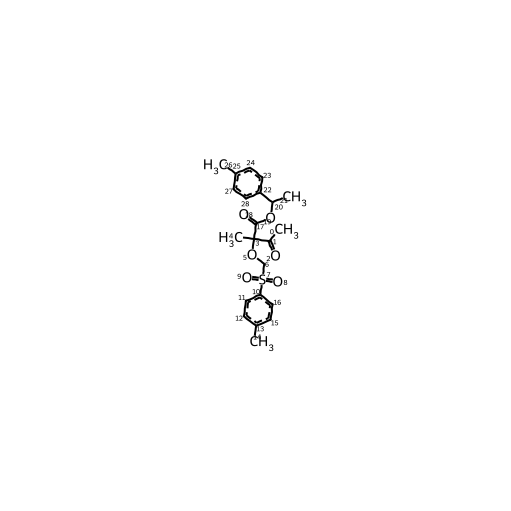 CC(=O)C(C)(OCS(=O)(=O)c1ccc(C)cc1)C(=O)OC(C)c1ccc(C)cc1